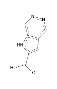 O=C(O)c1cc2cnncc2[nH]1